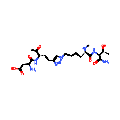 CN[C@@H](CCCCn1cc(CC[C@H](NC(=O)[C@@H](N)CC(=O)O)C(C)=O)nn1)C(=O)N[C@H](C(N)=O)[C@@H](C)O